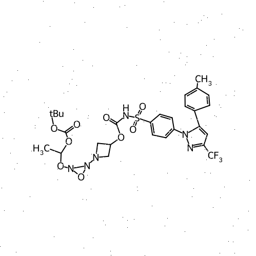 Cc1ccc(-c2cc(C(F)(F)F)nn2-c2ccc(S(=O)(=O)NC(=O)OC3CN(n4on4OC(C)OC(=O)OC(C)(C)C)C3)cc2)cc1